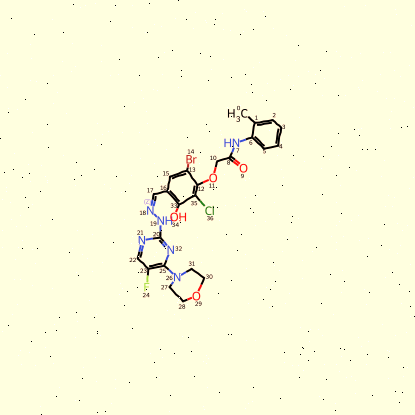 Cc1ccccc1NC(=O)COc1c(Br)cc(/C=N\Nc2ncc(F)c(N3CCOCC3)n2)c(O)c1Cl